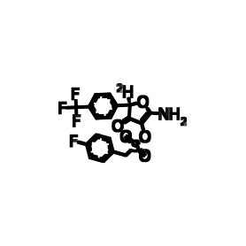 [2H][C@@]1(c2ccc(C(F)(F)F)cc2)OC(N)=C(OS(=O)(=O)Cc2ccc(F)cc2)C1=O